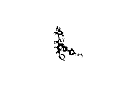 Cc1cc(C)c(CNC(=O)c2cc3cc(-c4ccc(N)nc4)cn3c(C(C)N3CCOCC3)c2C)c(=O)[nH]1